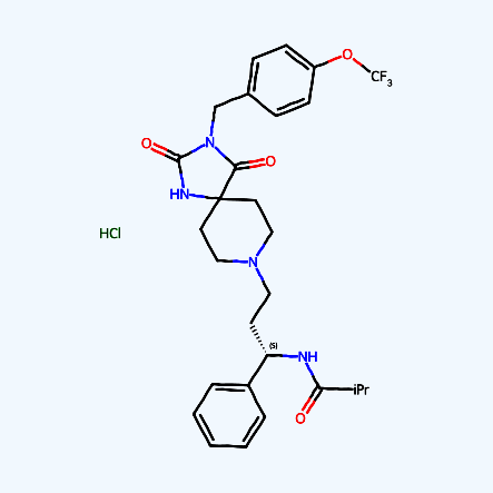 CC(C)C(=O)N[C@@H](CCN1CCC2(CC1)NC(=O)N(Cc1ccc(OC(F)(F)F)cc1)C2=O)c1ccccc1.Cl